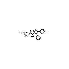 CC(C)COC(=O)C1(c2onc(-c3ccc(O)cc3)c2-c2ccccc2)CC1